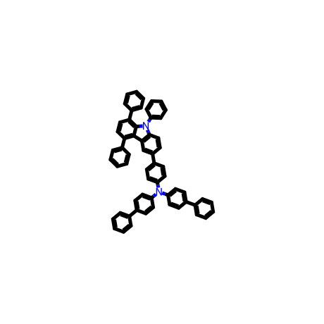 c1ccc(-c2ccc(N(c3ccc(-c4ccccc4)cc3)c3ccc(-c4ccc5c(c4)c4c(-c6ccccc6)ccc(-c6ccccc6)c4n5-c4ccccc4)cc3)cc2)cc1